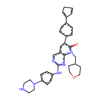 O=c1c(-c2ccc(C3=CCC=C3)cc2)cc2cnc(Nc3ccc(N4CCNCC4)cc3)nc2n1CC1CCOCC1